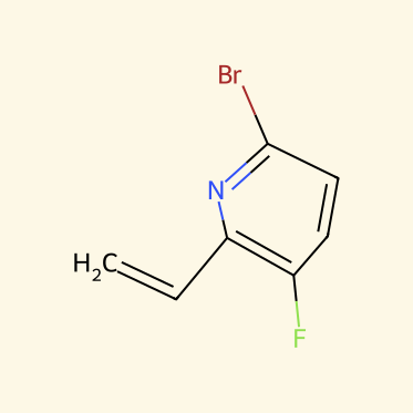 C=Cc1nc(Br)ccc1F